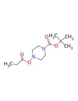 CCC(=O)ON1CCN(C(=O)OC(C)(C)C)CC1